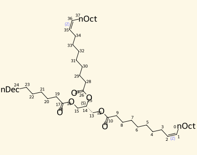 CCCCCCCC/C=C\CCCCCCCC(=O)OC[C@H](COC(=O)CCCCCCCCCCCCCCC)OC(=O)CCCCCCC/C=C\CCCCCCCC